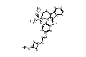 C[C@@H]1Cc2c([nH]c3ccccc23)[C@H](c2ccc(OCCN3CC(CF)C3)cc2F)N1S(C)(=O)=O